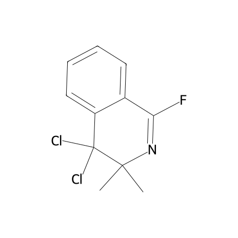 CC1(C)N=C(F)c2ccccc2C1(Cl)Cl